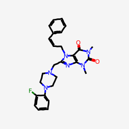 Cn1c(=O)c2c(nc(CN3CCN(c4ccccc4F)CC3)n2C/C=C\c2ccccc2)n(C)c1=O